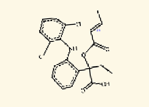 C/C=C/C(=O)OC(CC)(C(=O)O)c1ccccc1Nc1c(Cl)cccc1Cl